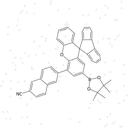 CC1(C)OB(c2cc(-c3ccc4cc(C#N)ccc4c3)c3c(c2)C2(c4ccccc4O3)c3ccccc3-c3ccccc32)OC1(C)C